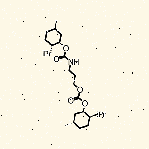 CC(C)[C@H]1CC[C@H](C)C[C@@H]1OC(=O)OCCCNC(=O)O[C@@H]1C[C@H](C)CC[C@H]1C(C)C